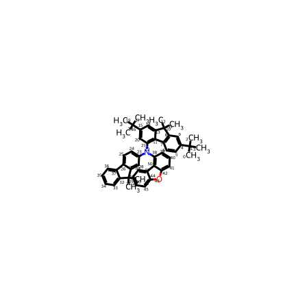 CC(C)(C)c1ccc2c(c1)C(C)(C)c1cc(C(C)(C)C)cc(N(c3ccc4c(c3)C(C)(C)c3ccccc3-4)c3cccc4oc5ccccc5c34)c1-2